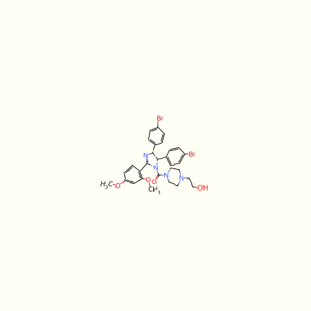 COc1ccc(C2=NC(c3ccc(Br)cc3)C(c3ccc(Br)cc3)N2C(=O)N2CCN(CCO)CC2)c(OC)c1